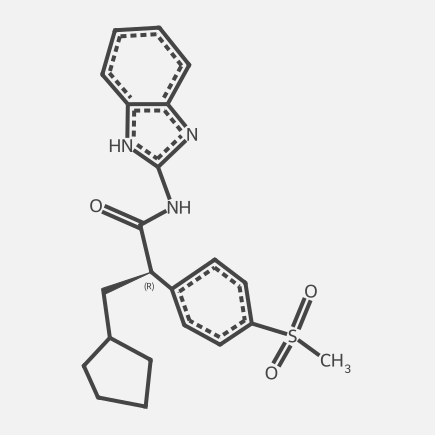 CS(=O)(=O)c1ccc([C@@H](CC2CCCC2)C(=O)Nc2nc3ccccc3[nH]2)cc1